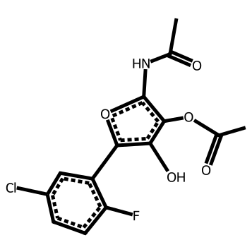 CC(=O)Nc1oc(-c2cc(Cl)ccc2F)c(O)c1OC(C)=O